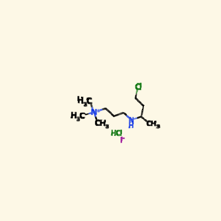 CC(CCCl)NCCC[N+](C)(C)C.Cl.[I-]